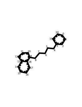 c1ccc(CCCCCc2cccc3ccccc23)cc1